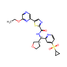 CCOc1cncc(-c2cnc(C(=O)N[C@@H](c3cc(S(=O)(=O)C4CC4)ccn3)[C@H]3CCOC3)s2)n1